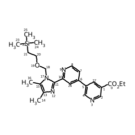 CCOC(=O)c1cncc(-c2ccnc(-c3nc(C)c(C)n3COCC[Si](C)(C)C)c2)c1